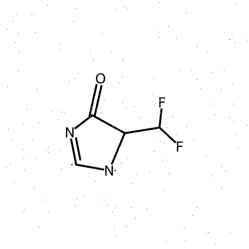 O=C1N=[C][N]C1C(F)F